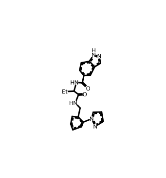 CCC(NC(=O)c1ccc2[nH]ncc2c1)C(=O)NCc1ccccc1-n1cccn1